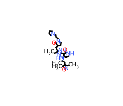 C=Cc1nc(-c2c(NC(C)Cc3c(C)noc3C)cc[nH]c2=O)[nH]c1/C=C1\CCN(CCCN2CCCC2)C1=O